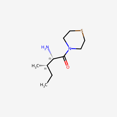 CC[C@H](C)[C@H](N)C(=O)N1CCSCC1